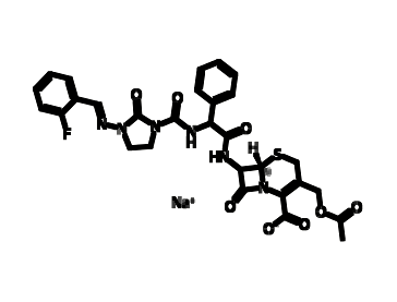 CC(=O)OCC1=C(C(=O)[O-])N2C(=O)C(NC(=O)C(NC(=O)N3CCN(N=Cc4ccccc4F)C3=O)c3ccccc3)[C@@H]2SC1.[Na+]